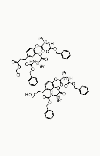 CC(C)[C@H](NC(=O)OCc1ccccc1)C(=O)Oc1ccc(CCC(=O)O)cc1OC(=O)[C@@H](NC(=O)OCc1ccccc1)C(C)C.CC(C)[C@H](NC(=O)OCc1ccccc1)C(=O)Oc1ccc(CCC(=O)OCCl)cc1OC(=O)[C@@H](NC(=O)OCc1ccccc1)C(C)C